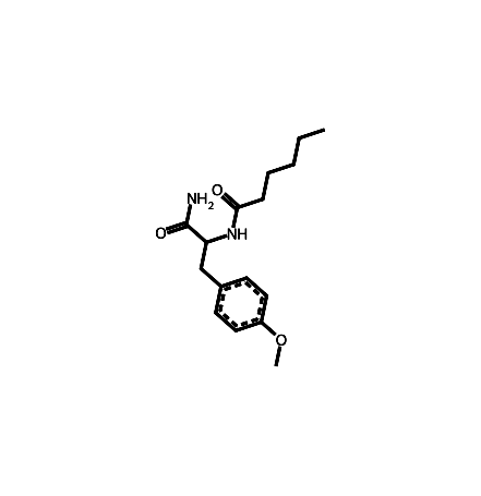 CCCCCC(=O)NC(Cc1ccc(OC)cc1)C(N)=O